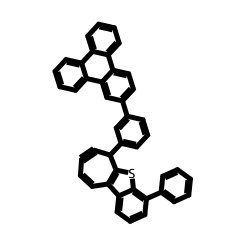 C1#CC(c2cccc(-c3ccc4c5ccccc5c5ccccc5c4c3)c2)c2sc3c(-c4ccccc4)cccc3c2C=C1